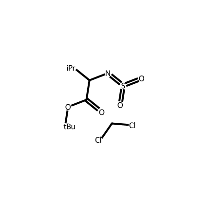 CC(C)C(N=S(=O)=O)C(=O)OC(C)(C)C.ClCCl